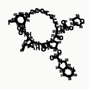 C=C[C@@H]1C[C@@]12NC(=O)[C@@H]1C[C@@H](OC(=O)N3Cc4cccnc4C3)CN1C(=O)[C@@H](NC(=O)O[C@@H]1CCOC1)CCCCCCCNc1ccc(F)cc1S(=O)(=O)NC2=O